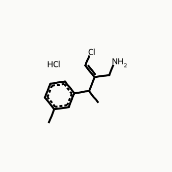 Cc1cccc(C(C)C(=CCl)CN)c1.Cl